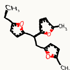 CCc1ccc(C(Cc2ccc(C)o2)c2ccc(C)o2)o1